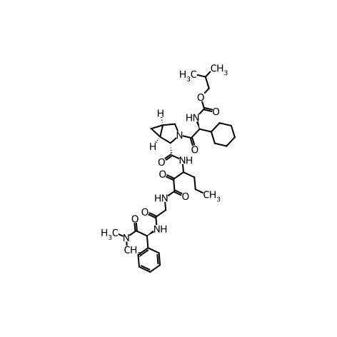 CCCC(NC(=O)[C@@H]1[C@H]2C[C@H]2CN1C(=O)[C@@H](NC(=O)OCC(C)C)C1CCCCC1)C(=O)C(=O)NCC(=O)N[C@H](C(=O)N(C)C)c1ccccc1